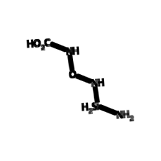 N[SiH2]NONC(=O)O